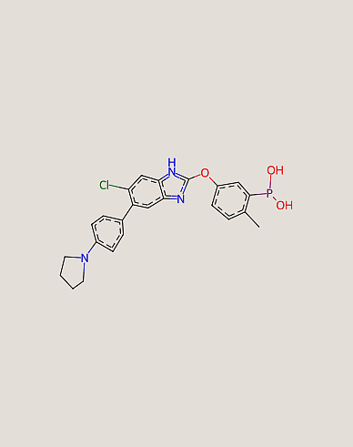 Cc1ccc(Oc2nc3cc(-c4ccc(N5CCCC5)cc4)c(Cl)cc3[nH]2)cc1P(O)O